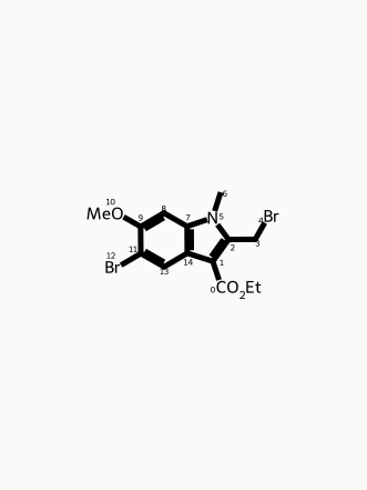 CCOC(=O)c1c(CBr)n(C)c2cc(OC)c(Br)cc12